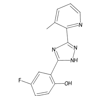 Cc1cccnc1-c1n[nH]c(-c2cc(F)ccc2O)n1